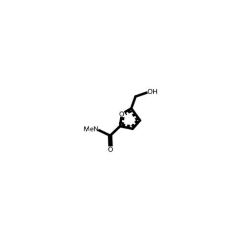 CNC(=O)c1ccc(CO)o1